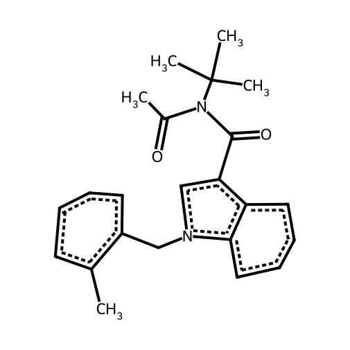 CC(=O)N(C(=O)c1cn(Cc2ccccc2C)c2ccccc12)C(C)(C)C